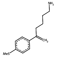 C=C(CCCCN)c1ccc(SC)cc1